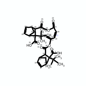 CC(C)(C)C1(C(=O)O)C2C=CC(C2)C1C(=O)OC(=O)/C=C\C(=O)OC(=O)C1C2C=CC(C2)C1(C(=O)O)C(C)(C)C